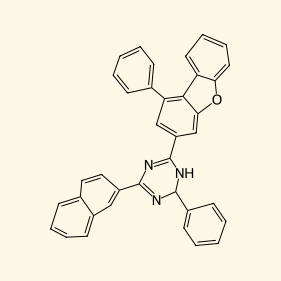 c1ccc(-c2cc(C3=NC(c4ccc5ccccc5c4)=NC(c4ccccc4)N3)cc3oc4ccccc4c23)cc1